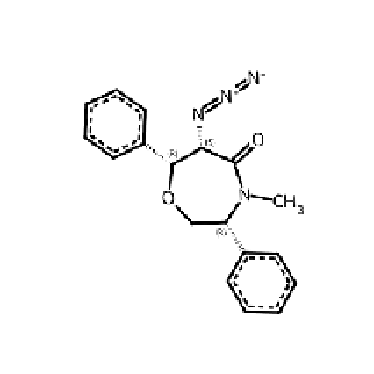 CN1C(=O)[C@@H](N=[N+]=[N-])[C@@H](c2ccccc2)OC[C@H]1c1ccccc1